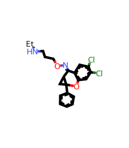 CCNCCCON=C1c2cc(Cl)c(Cl)cc2OC2(c3ccccc3)CC12